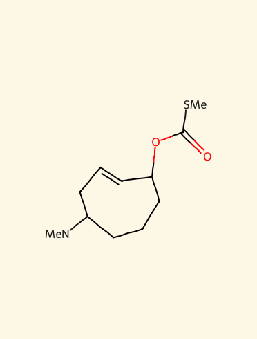 CNC1C/C=C/C(OC(=O)SC)CCC1